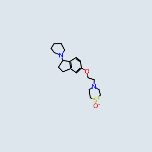 [O-][S+]1CCN(CCOc2ccc3c(c2)CCC3N2CCCCC2)CC1